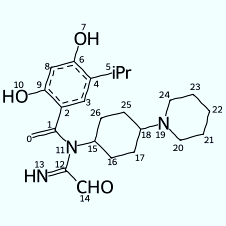 C=C(c1cc(C(C)C)c(O)cc1O)N(C(=N)C=O)C1CCC(N2CCCCC2)CC1